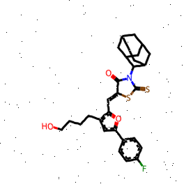 O=C1/C(=C/c2oc(-c3ccc(F)cc3)cc2CCCCO)SC(=S)N1C1C2CC3CC(C2)CC1C3